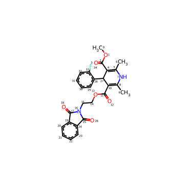 COC(=O)C1=C(C)NC(C)=C(C(=O)OCCN2C(=O)c3ccccc3C2=O)C1c1ccccc1F